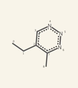 CCc1cnnnc1C